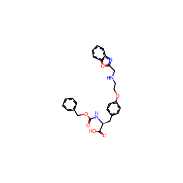 O=C(N[C@@H](Cc1ccc(OCCNCc2nc3ccccc3o2)cc1)C(=O)O)OCc1ccccc1